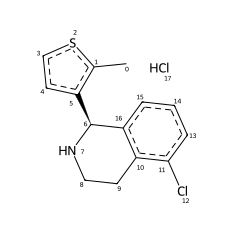 Cc1sccc1[C@@H]1NCCc2c(Cl)cccc21.Cl